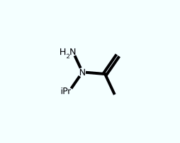 C=C(C)N(N)C(C)C